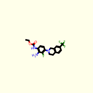 CCOC(=O)Nc1ccc(N2CCc3ccc(C(F)(F)F)cc3C2)c(F)c1N